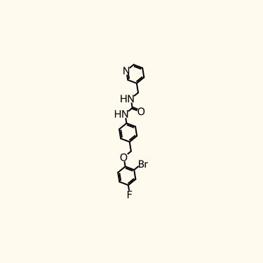 O=C(NCc1cccnc1)Nc1ccc(COc2ccc(F)cc2Br)cc1